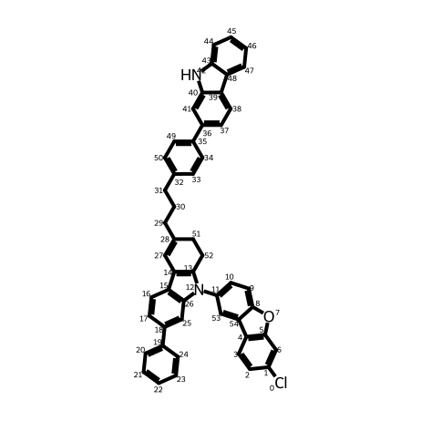 Clc1ccc2c(c1)oc1ccc(-n3c4c(c5ccc(-c6ccccc6)cc53)C=C(CCCc3ccc(-c5ccc6c(c5)[nH]c5ccccc56)cc3)CC4)cc12